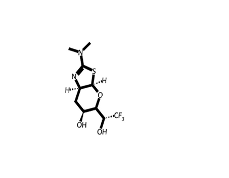 CN(C)C1=N[C@@H]2C[C@H](O)C([C@@H](O)C(F)(F)F)O[C@@H]2S1